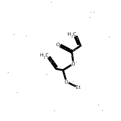 C=CC(=O)OC(C=C)OCC